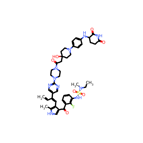 C=C/C(=C\c1c(C(=O)c2cccc(NS(=O)(=O)N(C)CC)c2F)c[nH]c1C)c1cnc(N2CCN(C(=O)CC3(O)CCN(c4ccc(NC5CCC(=O)NC5=O)cc4)CC3)CC2)nc1